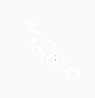 CC(C)C[C@@H]1[C@@H](CCCc2ccccc2)CCC[C@H](NC(=O)OC(C)(C)C)C(=O)O[C@H]1C